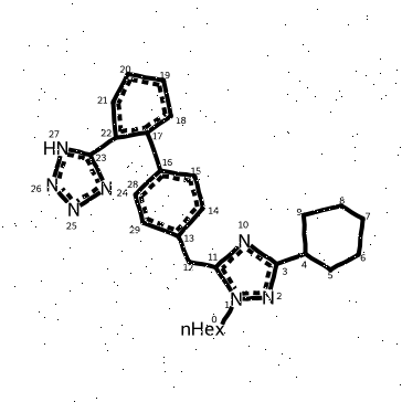 CCCCCCn1nc(C2CCCCC2)nc1Cc1ccc(-c2ccccc2-c2nnn[nH]2)cc1